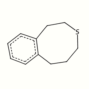 c1ccc2c(c1)CCCSCC2